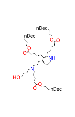 CCCCCCCCCCCCCOC(=O)CCCCC1=C(CCCCC(=O)OCCCCCCCCCCCCC)C(CCCN(CCCCO)CCCCC(=O)OCCCCCCCCCCCCC)=CC=CN1